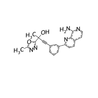 Cc1nnc(C(C)(O)C#Cc2cccc(-c3ccc4ccnc(N)c4n3)c2)o1